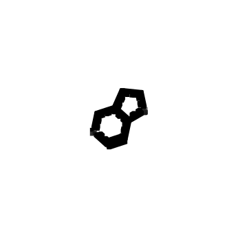 c1ncc2ccsc2c#1